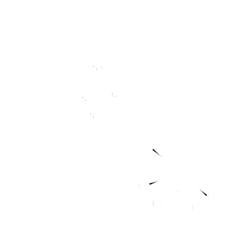 C[C@H]1[C@@H](COc2cc3nnc(NS(=O)(=O)C4CC4)n3cc2C2CC2)CC[C@@H](I)C1(C)C